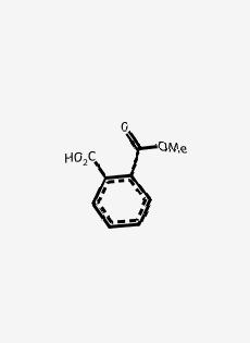 [CH2]OC(=O)c1ccccc1C(=O)O